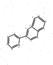 c1ccc(-c2ccc3ccccc3c2)nc1